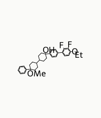 CCOc1ccc(-c2ccc(C3(O)CCC(C4CCC(OC)(c5ccccc5)CC4)CC3)cc2)c(F)c1F